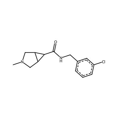 CN1CC2C(C1)C2C(=O)NCc1cccc(Cl)c1